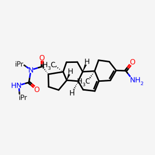 CC(C)NC(=O)N(C(=O)[C@H]1CC[C@H]2[C@@H]3CC=C4C=C(C(N)=O)CC[C@]4(C)[C@H]3CC[C@]12C)C(C)C